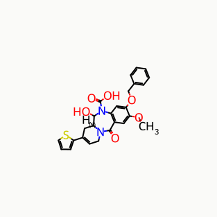 COc1cc2c(cc1OCc1ccccc1)N(C(=O)O)C(O)[C@@H]1CC(c3cccs3)=CCN1C2=O